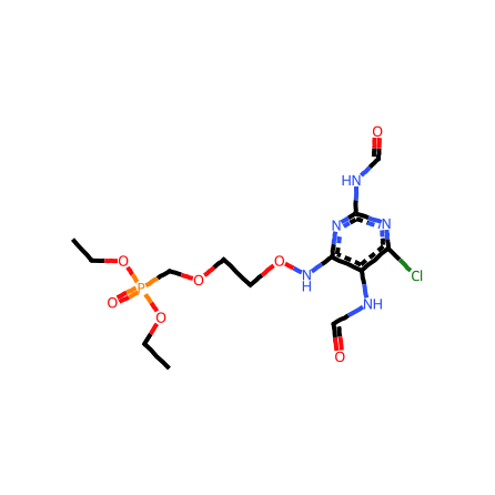 CCOP(=O)(COCCONc1nc(NC=O)nc(Cl)c1NC=O)OCC